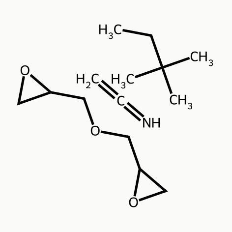 C(OCC1CO1)C1CO1.C=C=N.CCC(C)(C)C